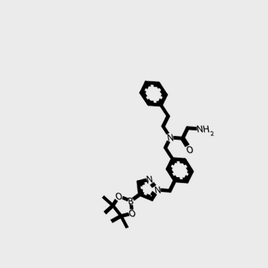 CC1(C)OB(c2cnn(Cc3cccc(CN(CCc4ccccc4)C(=O)CN)c3)c2)OC1(C)C